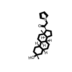 C[C@@]1(O)CC[C@H]2[C@H](CC[C@@H]3[C@@H]2CC[C@]2(C)[C@@H](C(=O)Cn4cccc4)CC[C@@H]32)C1